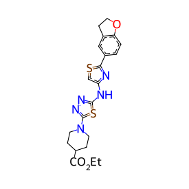 CCOC(=O)C1CCN(c2nnc(Nc3csc(-c4ccc5c(c4)CCO5)n3)s2)CC1